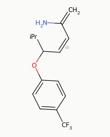 C=C(N)/C=C\C(Oc1ccc(C(F)(F)F)cc1)C(C)C